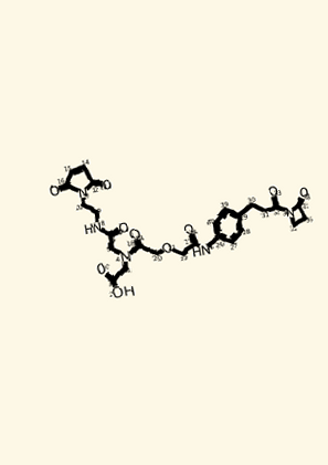 O=C(O)CN(CC(=O)NCCN1C(=O)C=CC1=O)C(=O)COCC(=O)Nc1ccc(CCC(=O)N2CCC2=O)cc1